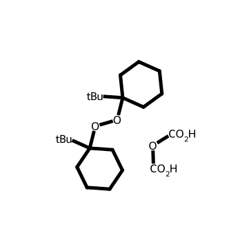 CC(C)(C)C1(OOC2(C(C)(C)C)CCCCC2)CCCCC1.O=C(O)OC(=O)O